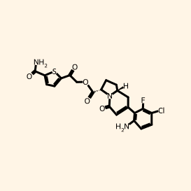 NC(=O)c1ccc(C(=O)COC(=O)[C@@H]2CC[C@@H]3CC(c4c(N)ccc(Cl)c4F)=CC(=O)N32)s1